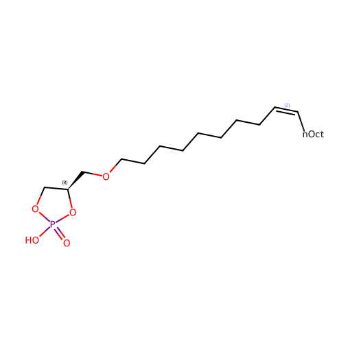 CCCCCCCC/C=C\CCCCCCCCOC[C@@H]1COP(=O)(O)O1